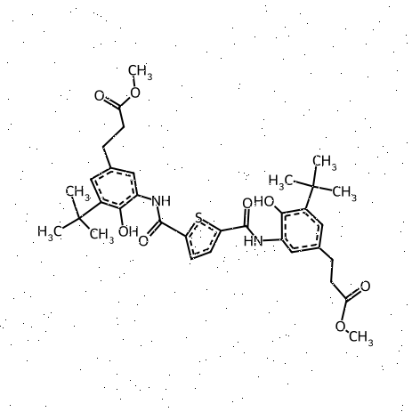 COC(=O)CCc1cc(NC(=O)c2ccc(C(=O)Nc3cc(CCC(=O)OC)cc(C(C)(C)C)c3O)s2)c(O)c(C(C)(C)C)c1